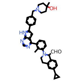 Cc1c(-c2ncnc3[nH]c(-c4ccc(CN5CCC(C)(O)CC5)cc4)cc23)cccc1N1CCc2cc(C3CC3)ccc2C1C=O